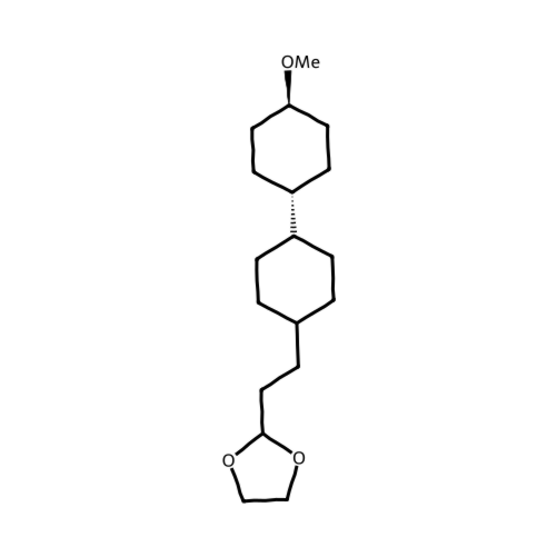 CO[C@H]1CC[C@H](C2CCC(CCC3OCCO3)CC2)CC1